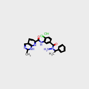 CC1N=Cc2ccc(C(=O)Nc3cc(C(=O)N(N)C(C)c4ccccc4)ccc3Cl)nc2N1.Cl